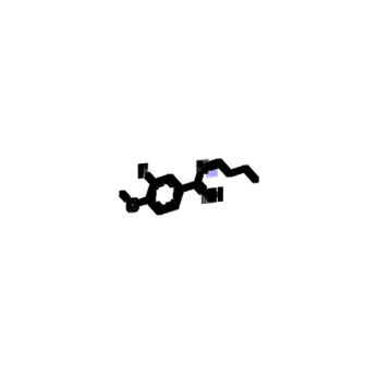 CCC/C=N\C(=N)c1ccc(OC)c(F)c1